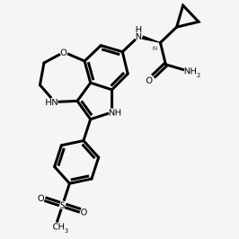 CS(=O)(=O)c1ccc(-c2[nH]c3cc(N[C@H](C(N)=O)C4CC4)cc4c3c2NCCO4)cc1